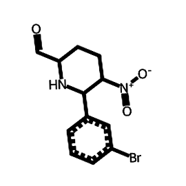 O=CC1CCC([N+](=O)[O-])C(c2cccc(Br)c2)N1